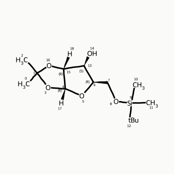 CC1(C)O[C@H]2O[C@H](CO[Si](C)(C)C(C)(C)C)[C@H](O)[C@H]2O1